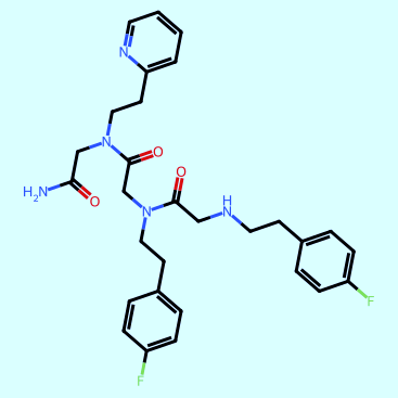 NC(=O)CN(CCc1ccccn1)C(=O)CN(CCc1ccc(F)cc1)C(=O)CNCCc1ccc(F)cc1